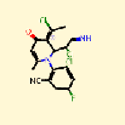 CC1=CC(=O)/C(=C(/C)Cl)C(C(Cl)C=N)N1C1=C(C#N)CC(F)C=C1Cl